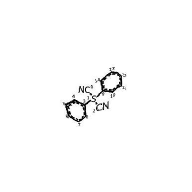 N#CS(C#N)(c1ccccc1)c1ccccc1